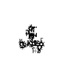 CCc1c(F)ccc2cc(O)cc(-c3ncc4c(N5C[C@H]6C[C@@H](C5)[C@H](C(=O)n5ccc(C)n5)C6)nc(OC[C@@]56CCCN5C[C@H](F)C6)nc4c3F)c12